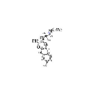 CCC(Oc1ccc2ncc(I)cc2c1)C(=O)NC(C)(C)/C=N/OC